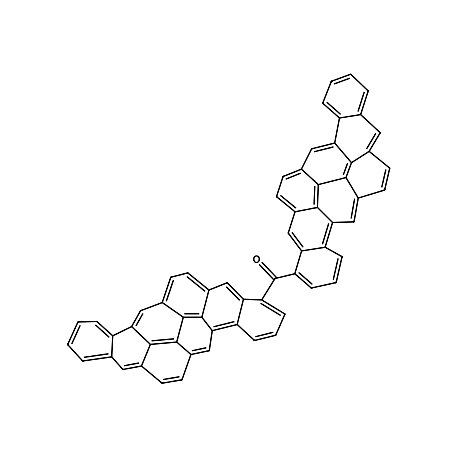 O=C(c1cccc2c1cc1ccc3cc4c5ccccc5cc5ccc6cc2c1c3c6c54)c1cccc2c1cc1ccc3cc4c5ccccc5cc5ccc6cc2c1c3c6c54